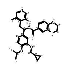 O=C(OC(Cc1c(Cl)cncc1Cl)c1ccc(OC(F)F)c(OCC2CC2)c1)c1ccc2c(c1)OCCO2